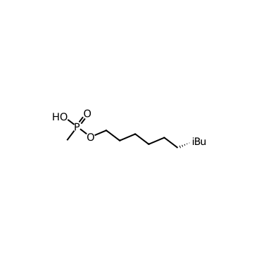 CC[C@@H](C)CCCCCCOP(C)(=O)O